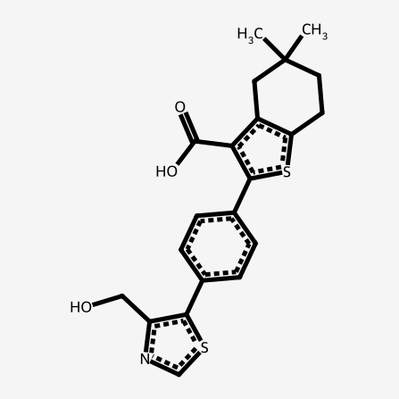 CC1(C)CCc2sc(-c3ccc(-c4scnc4CO)cc3)c(C(=O)O)c2C1